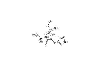 CC[C@H](C)[C@H](NC(=O)[C@H](Cc1c[nH]cn1)NC(=O)[C@@H](N)CC(C)C)C(=O)O